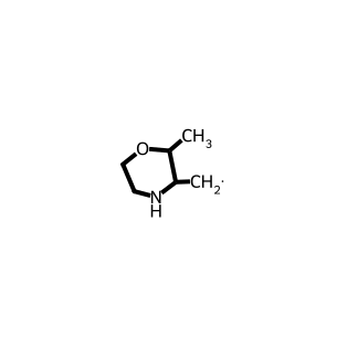 [CH2]C1NCCOC1C